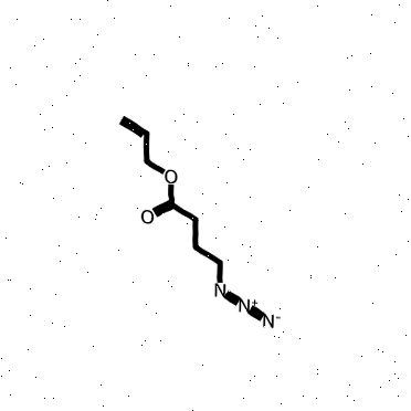 C=CCOC(=O)CCCN=[N+]=[N-]